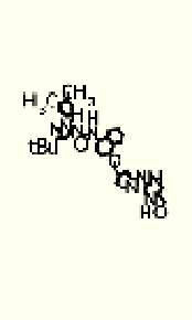 Cc1ccc(-n2nc(C(C)(C)C)cc2NC(=O)Nc2ccc(OCc3ccnc(Nc4cnc(CO)cn4)c3)c3ccccc23)cc1C